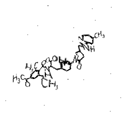 CCc1cc(C(C)=O)cc(C)c1C(=O)NC(Cc1ccc(N2CC(CNc3cc(C)ccn3)CC2=O)cc1)C(=O)O